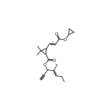 C#CC(OC(=O)C1C(/C=C/C(=O)OC2CC2)C1(C)C)/C(F)=C/CC